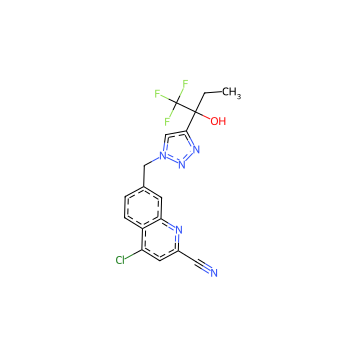 CCC(O)(c1cn(Cc2ccc3c(Cl)cc(C#N)nc3c2)nn1)C(F)(F)F